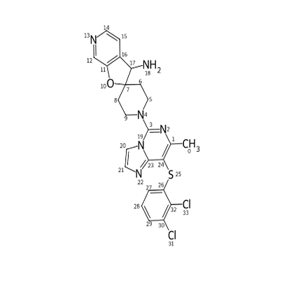 Cc1nc(N2CCC3(CC2)Oc2cnccc2C3N)n2ccnc2c1Sc1cccc(Cl)c1Cl